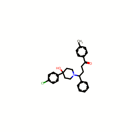 Cc1ccc(C(=O)CCC(c2ccccc2)N2CCC(O)(c3ccc(Cl)cc3)CC2)cc1